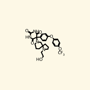 O=C1NC(=O)C(c2ccc(Oc3ccc(OC(F)(F)F)cc3)cc2)(N2CCCC3(CCCN3CCO)C2)C(=O)N1